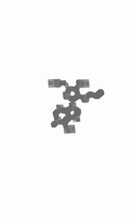 C=CCO[C@@H]1[C@H](O)[C@@H](CO)O[C@H]1n1cnc2c1=NCN(C)C=2S